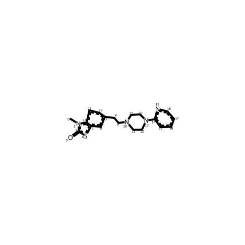 Cn1c(=O)sc2cc(CCN3CCN(c4ccccn4)CC3)ccc21